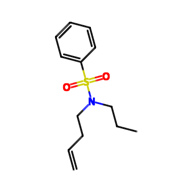 C=CCCN(CCC)S(=O)(=O)c1ccccc1